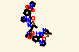 CCN(CCc1nc(NC(=O)c2cc(S(=O)(=O)N3CCCC3)ccc2N2CCCC2)sc1C)S(=O)(=O)c1ccc(N2CCCC2)c(C(=O)Nc2ncc(C)s2)c1